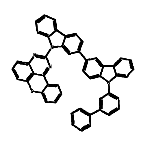 c1ccc(-c2cccc(-n3c4ccccc4c4cc(-c5ccc6c7ccccc7n(-c7nc8c9c(cccc9n7)Sc7ccccc7-8)c6c5)ccc43)c2)cc1